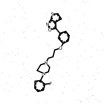 Fc1ccccc1N1CCN(CCCOc2cccc(-c3onc4sccc34)c2)CC1